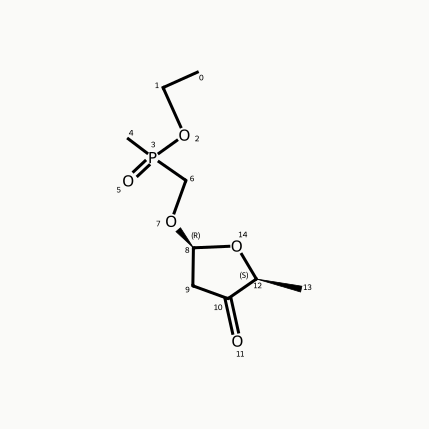 CCOP(C)(=O)CO[C@@H]1CC(=O)[C@H](C)O1